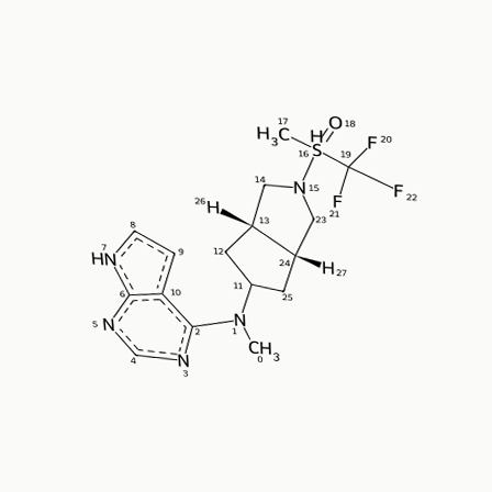 CN(c1ncnc2[nH]ccc12)C1C[C@@H]2CN([SH](C)(=O)C(F)(F)F)C[C@@H]2C1